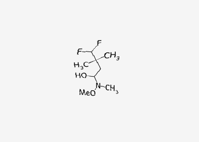 CON(C)C(O)CC(C)(C)C(F)F